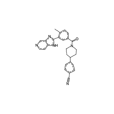 Cc1ccc(C(=O)N2CCC(c3ccc(C#N)cc3)CC2)cc1-c1nc2cnccc2[nH]1